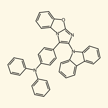 c1ccc(N(c2ccccc2)c2ccc(-c3c(-n4c5ccccc5c5ccccc54)nc4oc5ccccc5n34)cc2)cc1